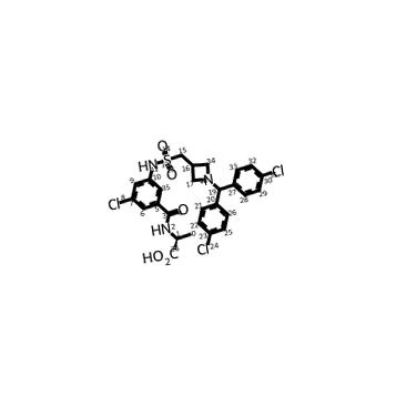 C[C@H](NC(=O)c1cc(Cl)cc(NS(=O)(=O)CC2CN(C(c3ccc(Cl)cc3)c3ccc(Cl)cc3)C2)c1)C(=O)O